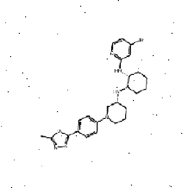 Cc1nnc(-c2ccc(N3CCC[C@H](N[C@@H]4CCCC[C@H]4Nc4cc(Br)ccn4)C3)cc2)o1